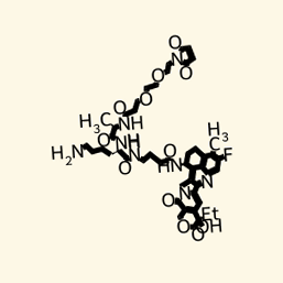 CC[C@@]1(O)C(=O)OCc2c1cc1n(c2=O)Cc2c-1nc1cc(F)c(C)c3c1c2[C@@H](NC(=O)CCCNC(=O)[C@H](CCCCN)NC(=O)[C@H](C)NC(=O)CCOCCOCCN1C(=O)C=CC1=O)CC3